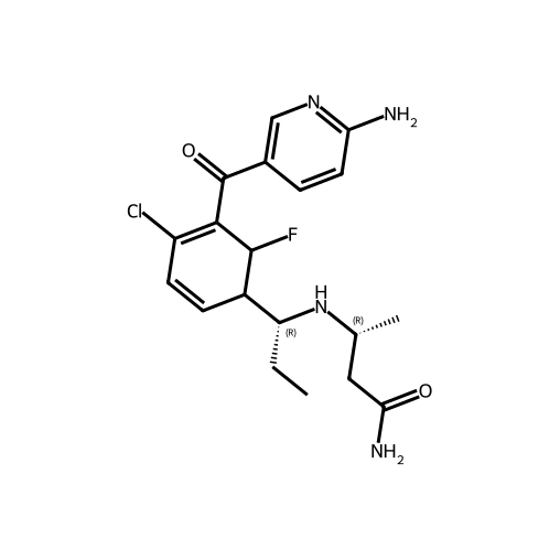 CC[C@@H](N[C@H](C)CC(N)=O)C1C=CC(Cl)=C(C(=O)c2ccc(N)nc2)C1F